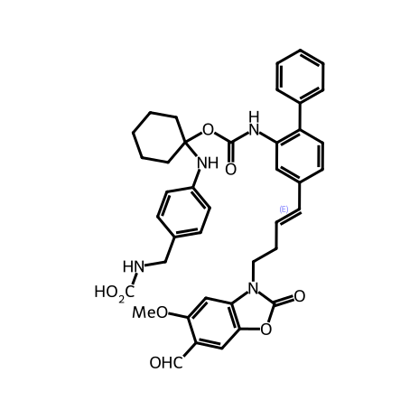 COc1cc2c(cc1C=O)oc(=O)n2CC/C=C/c1ccc(-c2ccccc2)c(NC(=O)OC2(Nc3ccc(CNC(=O)O)cc3)CCCCC2)c1